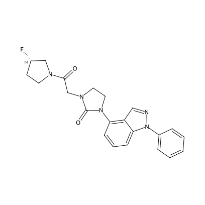 O=C(CN1CCN(c2cccc3c2cnn3-c2ccccc2)C1=O)N1CC[C@H](F)C1